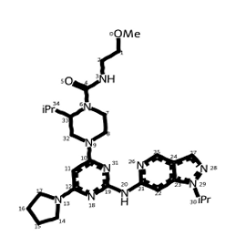 COCCNC(=O)N1CCN(c2cc(N3CCCC3)nc(Nc3cc4c(cn3)cnn4C(C)C)n2)CC1C(C)C